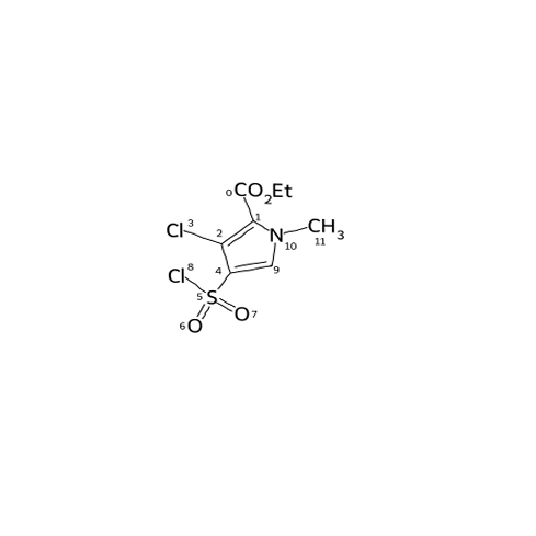 CCOC(=O)c1c(Cl)c(S(=O)(=O)Cl)cn1C